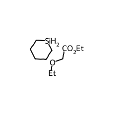 C1CC[SiH2]CC1.CCOCC(=O)OCC